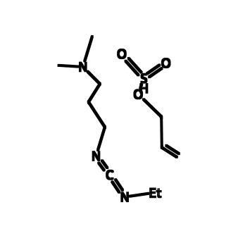 C=CCO[SH](=O)=O.CCN=C=NCCCN(C)C